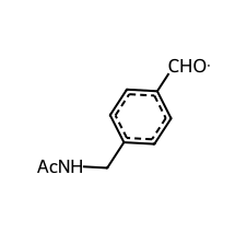 CC(=O)NCc1ccc([C]=O)cc1